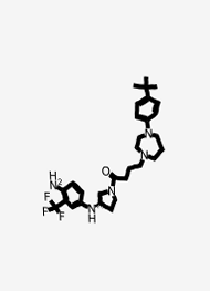 CC(C)(C)c1ccc(N2CCCN(CCCC(=O)N3CC[C@@H](Nc4ccc(N)c(C(F)(F)F)c4)C3)CC2)cc1